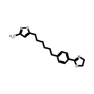 Cc1cc(CCCCCCc2ccc(C3=NCCO3)cc2)on1